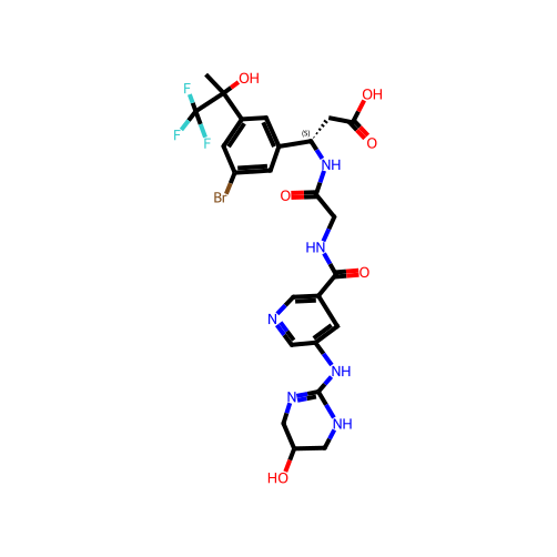 CC(O)(c1cc(Br)cc([C@H](CC(=O)O)NC(=O)CNC(=O)c2cncc(NC3=NCC(O)CN3)c2)c1)C(F)(F)F